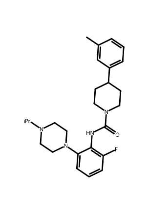 Cc1cccc(C2CCN(C(=O)Nc3c(F)cccc3N3CCN(C(C)C)CC3)CC2)c1